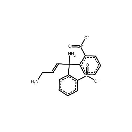 NC/C=C/C(N)(c1ccccc1[N+](=O)[O-])c1ccccc1[N+](=O)[O-]